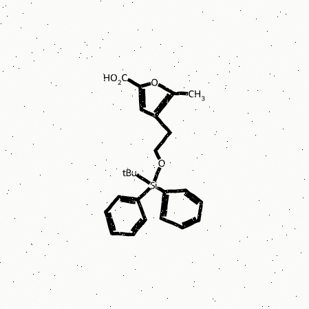 Cc1oc(C(=O)O)cc1CCO[Si](c1ccccc1)(c1ccccc1)C(C)(C)C